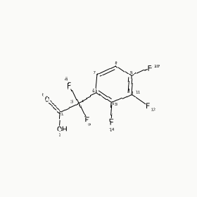 O=C(O)C(F)(F)c1ccc(F)c(F)c1F